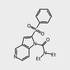 CCN(CC)C(=O)n1c(S(=O)(=O)c2ccccc2)cc2cnccc21